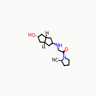 N#C[C@@H]1CCCN1C(=O)CNC1C[C@@H]2C[C@H](O)C[C@@H]2C1